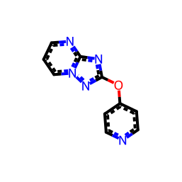 c1cnc2nc(Oc3ccncc3)nn2c1